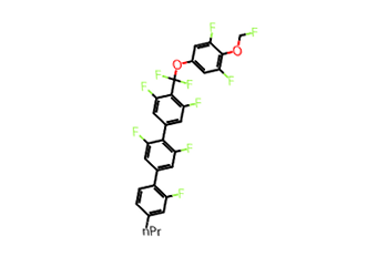 CCCc1ccc(-c2cc(F)c(-c3cc(F)c(C(F)(F)Oc4cc(F)c(OCF)c(F)c4)c(F)c3)c(F)c2)c(F)c1